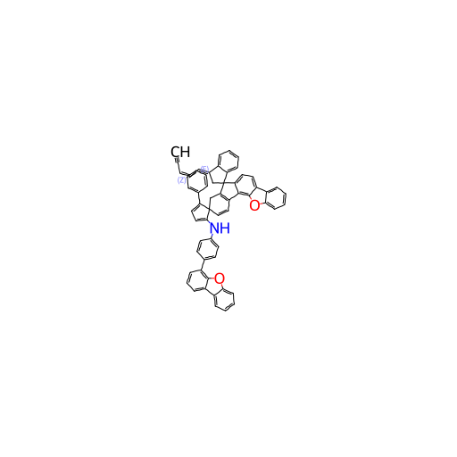 C#C/C=C\C=C1/CC2(C3=C(C=CC4(C3)C(Nc3ccc(-c5cccc6c5oc5ccccc56)cc3)=CC=C4c3ccccc3)c3c2ccc2c3oc3ccccc32)c2ccccc21